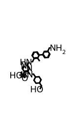 Cc1c(CNc2ncc([N+](=O)O)c(NCC3CCC(CO)CC3)n2)cccc1-c1cccc(CN)c1